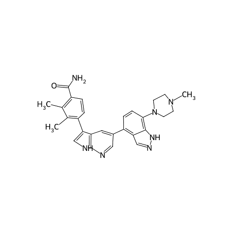 Cc1c(C(N)=O)ccc(-c2c[nH]c3ncc(-c4ccc(N5CCN(C)CC5)c5[nH]ncc45)cc23)c1C